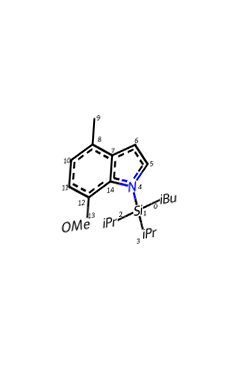 CCC(C)[Si](C(C)C)(C(C)C)n1ccc2c(C)ccc(OC)c21